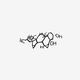 C[C@]12CCC3C(C1C1CC1[C@@]2(O)CCC#N)[C@H]1CC1[C@]1(O)C[C@@H](O)CC[C@]31C